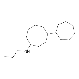 CCCNC1CCCCC(C2CCCCCC2)CC1